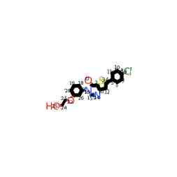 O=c1c2sc(-c3ccc(Cl)cc3)cc2ncn1-c1cccc(OCCO)c1